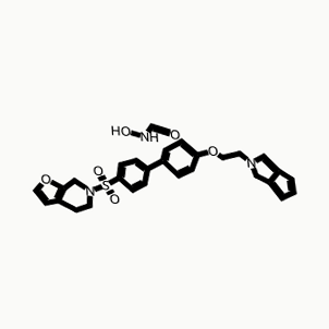 O=CNO.O=S(=O)(c1ccc(-c2ccc(OCCN3C=C4C=CC=C4C3)cc2)cc1)N1CCc2ccoc2C1